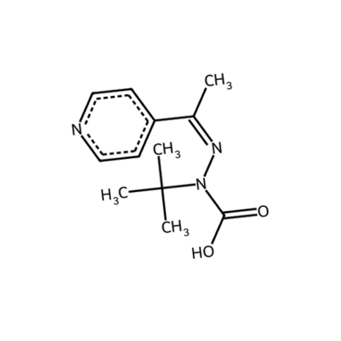 C/C(=N/N(C(=O)O)C(C)(C)C)c1ccncc1